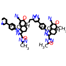 Cc1noc(-c2nn(-c3ccc(-c4cccnc4)cc3)c3c2CC[C@@H]2[C@@H](CCc4cc(-c5ccc(-n6nc(-c7noc(C)n7)c7c6[C@]6(C)C=C(C#N)C(=O)[C@H](C)[C@H]6CC7)cc5)cnn4)C(=O)C(C#N)=C[C@@]32C)n1